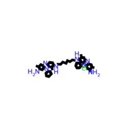 CC1=CC2=Nc3cc(C)c(N)cc3[N+](Cl)(c3ccccc3)C2C=C1NCCCCCCCCNc1ccc2nc3cc(C)c(N)cc3[n+](-c3ccccc3)c2c1C